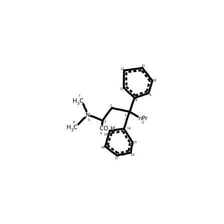 CCCC(CC(C(=O)O)N(C)C)(c1ccccc1)c1ccccc1